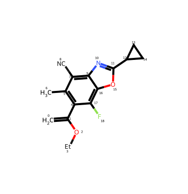 C=C(OCC)c1c(C)c(C#N)c2nc(C3CC3)oc2c1F